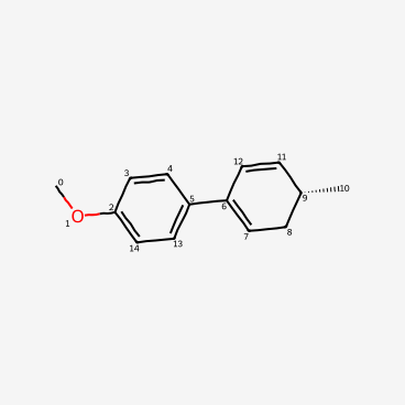 COc1ccc(C2=CC[C@@H](C)C=C2)cc1